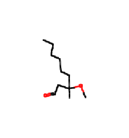 CCCCCCC(C)(CC=O)OC